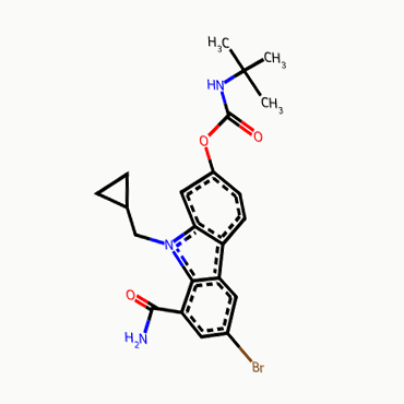 CC(C)(C)NC(=O)Oc1ccc2c3cc(Br)cc(C(N)=O)c3n(CC3CC3)c2c1